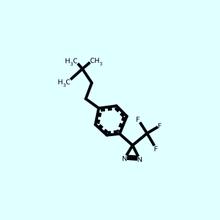 CC(C)(C)CCc1ccc(C2(C(F)(F)F)N=N2)cc1